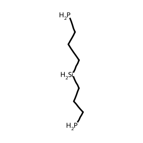 PCCC[SiH2]CCCP